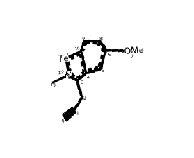 C#CCc1c2cc(OC)ccc2[te][n+]1C